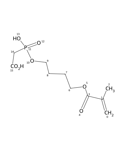 C=C(C)C(=O)OCCCCOP(=O)(O)CC(=O)O